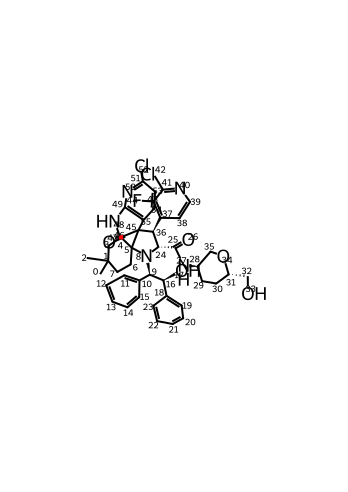 CC1(C)CCC2(CC1)N([C@H](c1ccccc1)[C@@H](O)c1ccccc1)[C@@H](C(=O)N[C@@H]1CC[C@@H](CO)OC1)[C@H](c1ccnc(Cl)c1F)C21C(=O)Nc2nc(Cl)ccc21